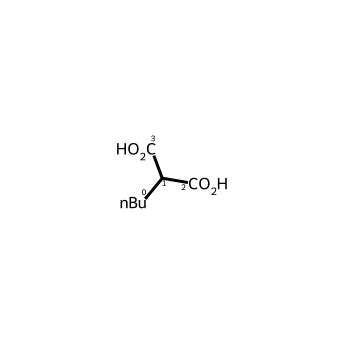 [CH2]CCCC(C(=O)O)C(=O)O